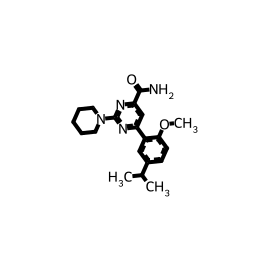 COc1ccc(C(C)C)cc1-c1cc(C(N)=O)nc(N2CCCCC2)n1